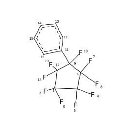 FC1(F)C(F)(F)C(F)(F)C(F)(c2[c]cccc2)C1(F)F